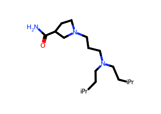 CC(C)CCN(CCCN1CCC(C(N)=O)C1)CCC(C)C